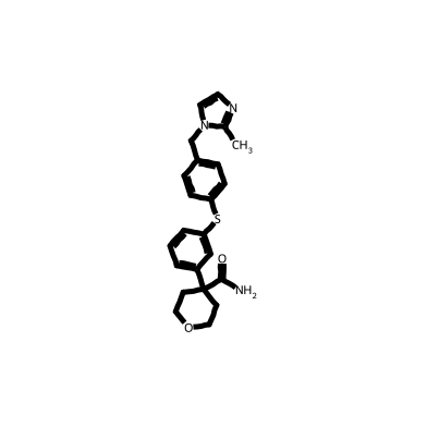 Cc1nccn1Cc1ccc(Sc2cccc(C3(C(N)=O)CCOCC3)c2)cc1